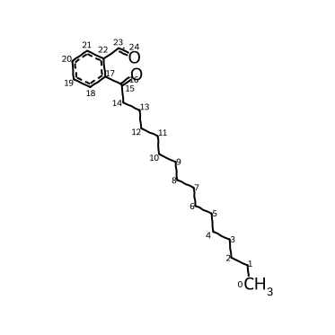 CCCCCCCCCCCCCCCC(=O)c1ccccc1[C]=O